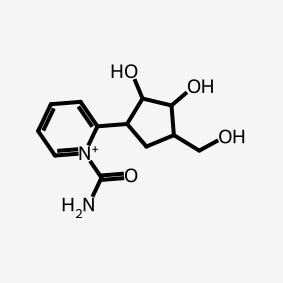 NC(=O)[n+]1ccccc1C1CC(CO)C(O)C1O